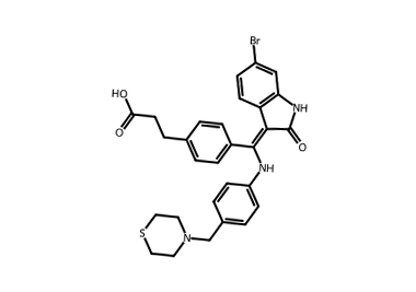 O=C(O)CCc1ccc(/C(Nc2ccc(CN3CCSCC3)cc2)=C2/C(=O)Nc3cc(Br)ccc32)cc1